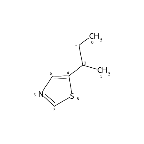 CCC(C)c1cncs1